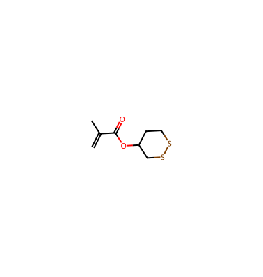 C=C(C)C(=O)OC1CCSSC1